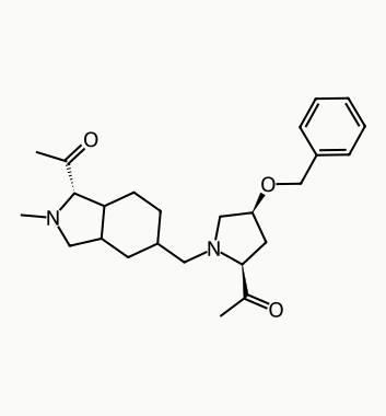 CC(=O)[C@@H]1C2CCC(CN3C[C@@H](OCc4ccccc4)C[C@H]3C(C)=O)CC2CN1C